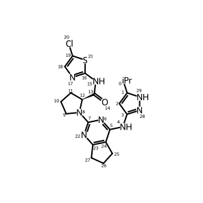 CC(C)c1cc(Nc2nc(N3CCC[C@H]3C(=O)Nc3ncc(Cl)s3)nc3c2CCC3)n[nH]1